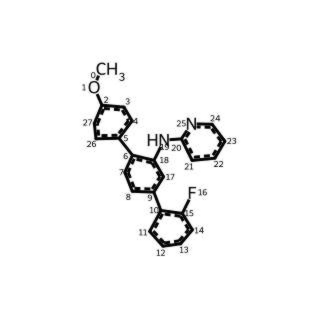 COc1ccc(-c2ccc(-c3ccccc3F)cc2Nc2ccccn2)cc1